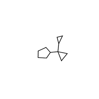 C1CCC(C2(C3CC3)CC2)C1